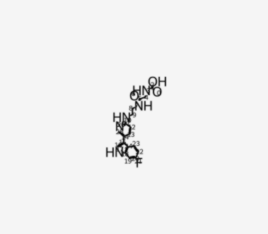 O=C(O)NCC(=O)NCCNc1ccc(-c2c[nH]c3cc(F)ccc23)cn1